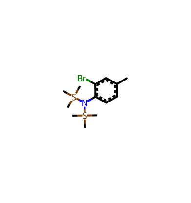 Cc1ccc(N(S(C)(C)C)S(C)(C)C)c(Br)c1